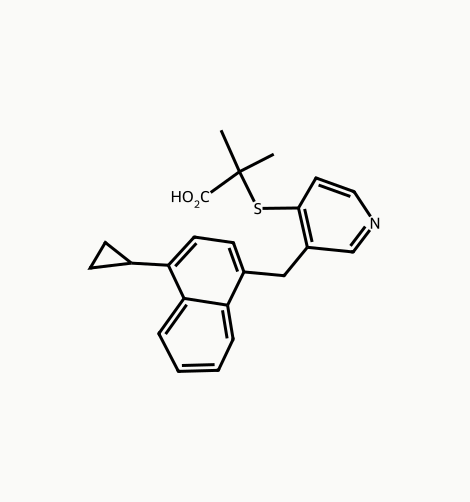 CC(C)(Sc1ccncc1Cc1ccc(C2CC2)c2ccccc12)C(=O)O